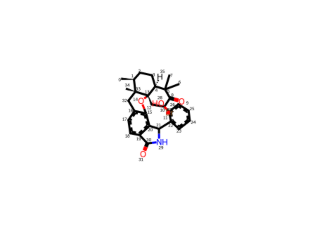 C[C@H]1CC[C@H]2C(C)(C)C(=O)C(Br)C[C@]23Oc2c(ccc4c2C(c2ccccc2O)NC4=O)C[C@]13C